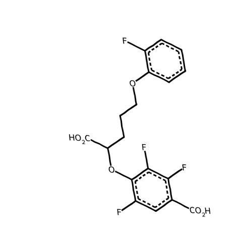 O=C(O)c1cc(F)c(OC(CCCOc2ccccc2F)C(=O)O)c(F)c1F